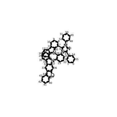 c1ccc(-c2nc(-c3cccc4c5ccccc5n(-c5ccccc5-n5c6ccccc6c6cc7c(cc65)oc5ccccc57)c34)n(-c3ccccc3)n2)cc1